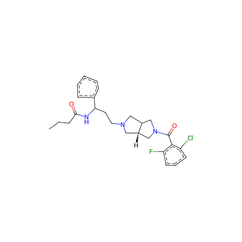 CCCC(=O)NC(CCN1CC2CN(C(=O)c3c(F)cccc3Cl)C[C@@H]2C1)c1ccccc1